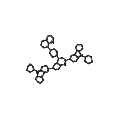 c1ccc(-n2c3ccccc3c3cc(-c4ccc5nc(-c6ccc7c(c6)c6ccccc6n7-c6ccccc6)cc(-c6ccc(-c7cccc8cccnc78)cc6)c5c4)ccc32)cc1